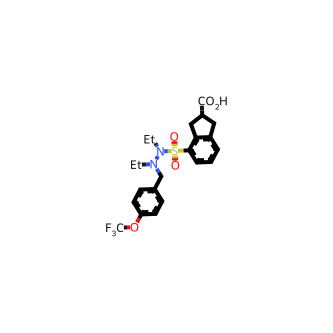 CCN(Cc1ccc(OC(F)(F)F)cc1)N(CC)S(=O)(=O)c1cccc2c1CC(C(=O)O)C2